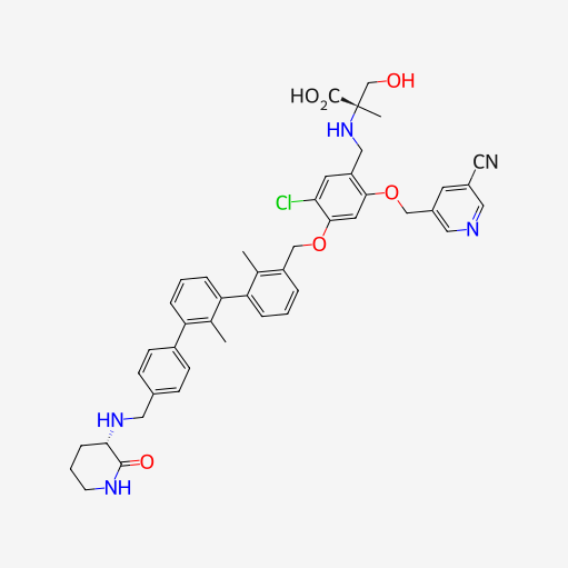 Cc1c(COc2cc(OCc3cncc(C#N)c3)c(CN[C@@](C)(CO)C(=O)O)cc2Cl)cccc1-c1cccc(-c2ccc(CN[C@H]3CCCNC3=O)cc2)c1C